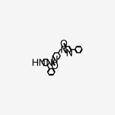 O=C(N1CCC(Cn2cnc(-c3ccccc3)cc2=O)CC1)N1CCNCC1c1ccccc1